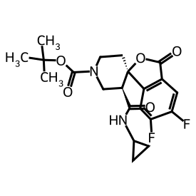 CC(C)(C)OC(=O)N1CC[C@@]2(OC(=O)c3cc(F)c(F)cc32)[C@@H](C(=O)NC2CC2)C1